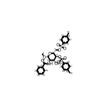 CO[C@@H]1O[C@H](COS(=O)(=O)c2ccc(C)cc2)[C@@H](OS(=O)(=O)c2ccc(C)cc2)[C@H](O)[C@H]1NC(=O)c1ccccc1